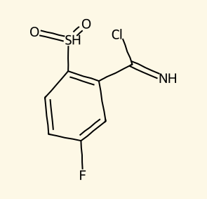 N=C(Cl)c1cc(F)ccc1[SH](=O)=O